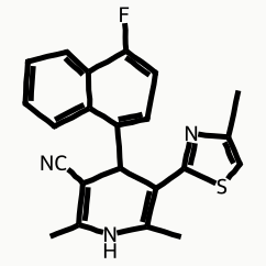 CC1=C(C#N)C(c2ccc(F)c3ccccc23)C(c2nc(C)cs2)=C(C)N1